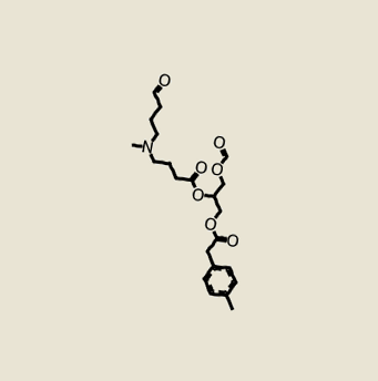 Cc1ccc(CC(=O)OCC(COC=O)OC(=O)CCCN(C)CCCC=O)cc1